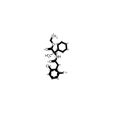 CCOC(=O)[C@](C)(NC(=O)Cc1c(F)cccc1Cl)C1CCCCC1